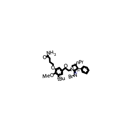 CCC[C@H]1CN(CC(=O)c2cc(OCCCC(N)=O)c(OC)c(C(C)(C)C)c2)/C(=N\Br)[C@@H]1c1ccccc1